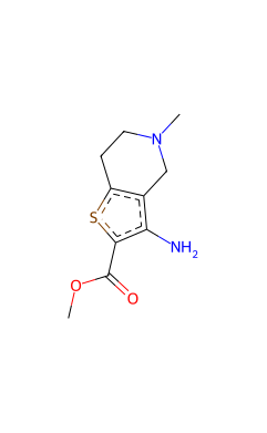 COC(=O)c1sc2c(c1N)CN(C)CC2